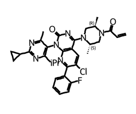 C=CC(=O)N1C[C@H](C)N(c2nc(=O)n(-c3c(C)nc(C4CC4)nc3C(C)C)c3nc(-c4ccccc4F)c(Cl)cc23)C[C@H]1C